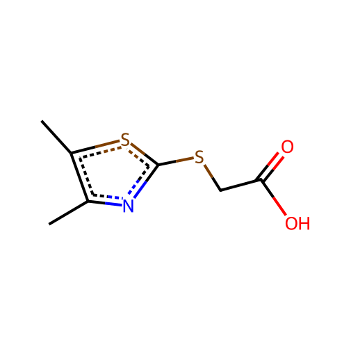 Cc1nc(SCC(=O)O)sc1C